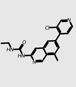 CCNC(=O)Nc1cc2cc(-c3ccncc3Cl)cc(C)c2cn1